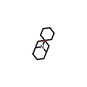 [CH]1CCC(N2C3CCCC2CCC3)CC1